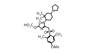 COc1cc(C)c(S(=O)(=O)CC2=NC(OC(=O)O)ON2C2CCC(N3CCCC3)CC2(C)C)c(C)c1